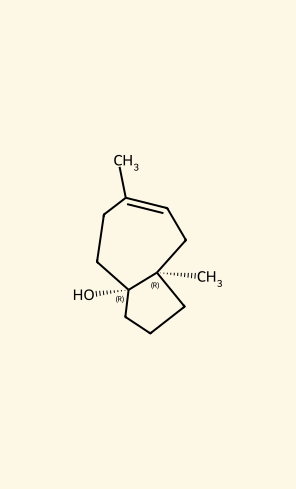 CC1=CC[C@@]2(C)CCC[C@@]2(O)CC1